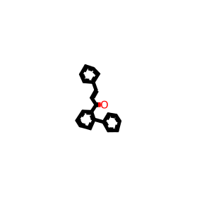 O=C(C=Cc1ccccc1)c1ccccc1-c1ccccc1